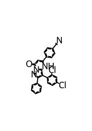 N#Cc1ccc(-c2cc(=O)n3nc(-c4ccccc4)c(-c4ccc(Cl)cc4Cl)c3[nH]2)cc1